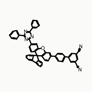 N#Cc1cc(C#N)cc(-c2ccc(-c3ccc4c(c3)Oc3cc(-c5nc(-c6ccccc6)nc(-c6ccccc6)n5)ccc3C43c4ccccc4-c4ccccc43)cc2)c1